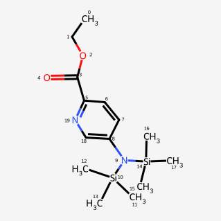 CCOC(=O)c1ccc(N([Si](C)(C)C)[Si](C)(C)C)cn1